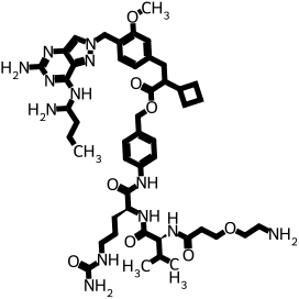 CCCC(N)Nc1nc(N)nc2cn(Cc3ccc(CC(C(=O)OCc4ccc(NC(=O)[C@H](CCCNC(N)=O)NC(=O)[C@H](NC(=O)CCOCCN)C(C)C)cc4)C4CCC4)cc3OC)nc12